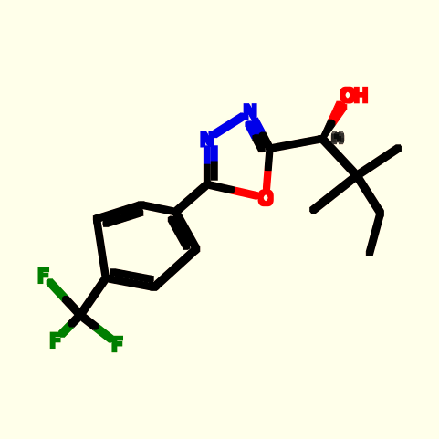 CCC(C)(C)[C@H](O)c1nnc(-c2ccc(C(F)(F)F)cc2)o1